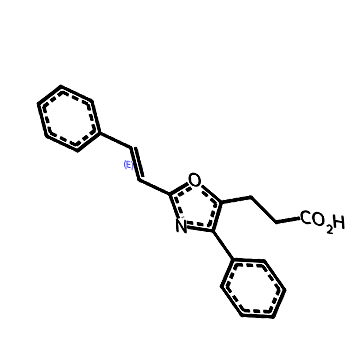 O=C(O)CCc1oc(/C=C/c2ccccc2)nc1-c1ccccc1